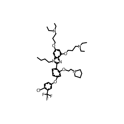 CCCCn1c(-c2ccc(Oc3ccc(Cl)c(C(F)(F)F)c3)cc2OCCN2CCCC2)nc2c(OCCCN(CC)CC)cc(OCCCN(CC)CC)cc21